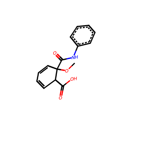 COC1(C(=O)Nc2ccccc2)C=CC=CC1C(=O)O